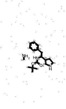 CC(C)(C)OC(=O)NC(Cc1ccccc1)C1CCNC1.CN